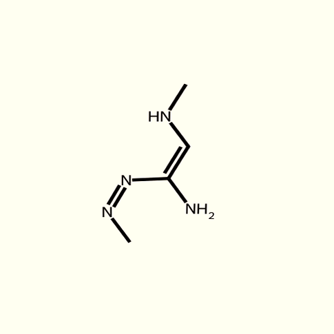 C/N=N\C(N)=C/NC